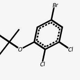 CC(C)(C)Oc1cc(Br)cc(Cl)c1Cl